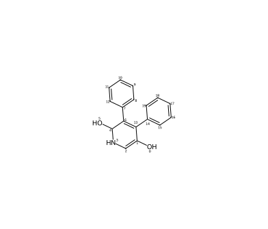 OC1=CNC(O)C(c2ccccc2)=C1c1ccccc1